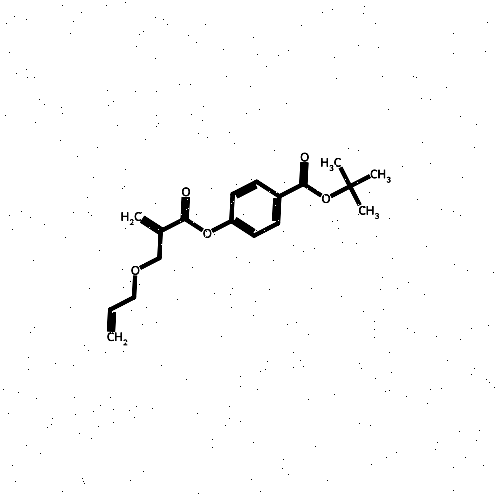 C=CCOCC(=C)C(=O)Oc1ccc(C(=O)OC(C)(C)C)cc1